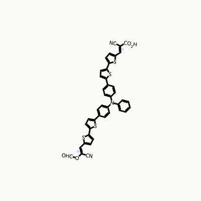 N#C/C(=C\c1ccc(-c2ccc(-c3ccc(N(c4ccccc4)c4ccc(-c5ccc(-c6ccc(/C=C(\C#N)C(=O)O)s6)s5)cc4)cc3)s2)s1)OC=O